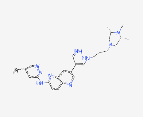 CC(C)c1cnnc(Nc2ccc3ncc(/C(C=N)=C/NCCCN4C[C@@H](C)N(C)[C@@H](C)C4)cc3n2)c1